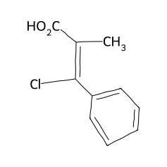 CC(C(=O)O)=C(Cl)c1ccccc1